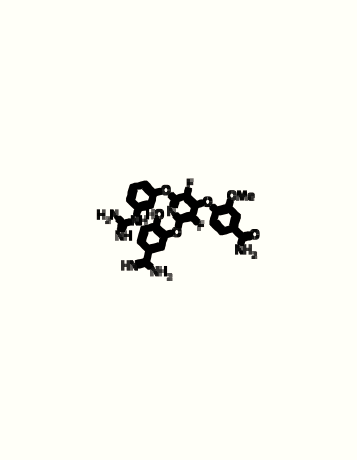 COc1cc(C(N)=O)ccc1Oc1c(F)c(Oc2cccc(NC(=N)N)c2)nc(Oc2cc(C(=N)N)ccc2O)c1F